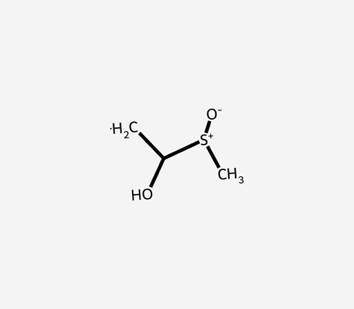 [CH2]C(O)[S+](C)[O-]